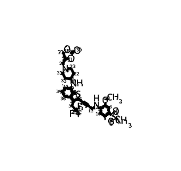 COc1cc(S(C)(=O)=O)ccc1NCC#Cc1sc2c(NC3CCN(CC4COC(=O)O4)CC3)cccc2c1CC(F)(F)F